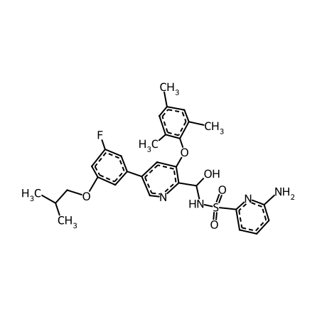 Cc1cc(C)c(Oc2cc(-c3cc(F)cc(OCC(C)C)c3)cnc2C(O)NS(=O)(=O)c2cccc(N)n2)c(C)c1